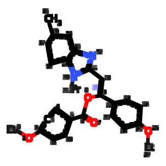 CCOc1ccc(C(=O)O/C(=C\c2nc3cc(C)ccc3n2C(C)C)c2ccc(OCC)cc2)cc1